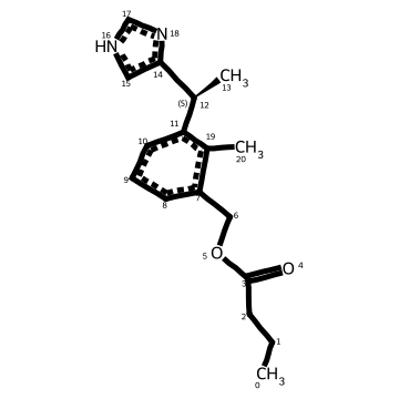 CCCC(=O)OCc1cccc([C@H](C)c2c[nH]cn2)c1C